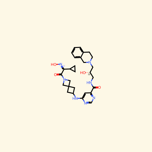 O=C(NC[C@H](O)CN1CCc2ccccc2C1)c1cc(NC2CC3(C2)CN(C(=O)/C(=N\O)C2CC2)C3)ncn1